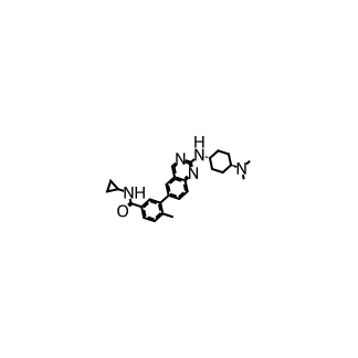 Cc1ccc(C(=O)NC2CC2)cc1-c1ccc2nc(N[C@H]3CC[C@H](N(C)C)CC3)ncc2c1